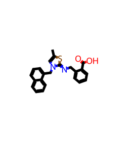 Cc1cn(Cc2cccc3ccccc23)c(=NCc2ccccc2C(=O)O)s1